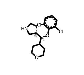 Clc1cccc(Cl)c1O[C@@H](C1CCOCC1)[C@H]1CCNC1